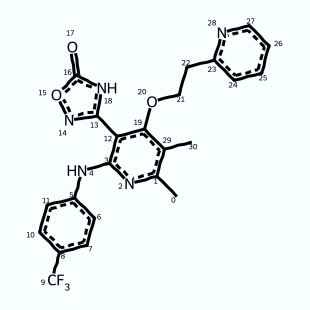 Cc1nc(Nc2ccc(C(F)(F)F)cc2)c(-c2noc(=O)[nH]2)c(OCCc2ccccn2)c1C